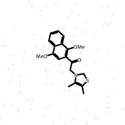 COc1cc(C(=O)CN2CSC(C)=C2C)c(OC)c2ccccc12